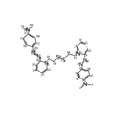 CN(C)c1ccc(/N=N/c2cccc[n+]2CCSSCCN2C=CC=CC2/N=N/c2ccc(N(C)C)cc2)cc1